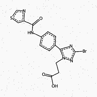 O=C(O)CCn1nc(Br)nc1-c1ccc(NC(=O)c2cscn2)cc1